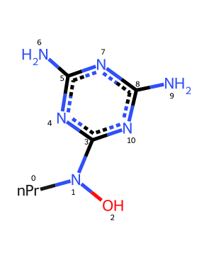 CCCN(O)c1nc(N)nc(N)n1